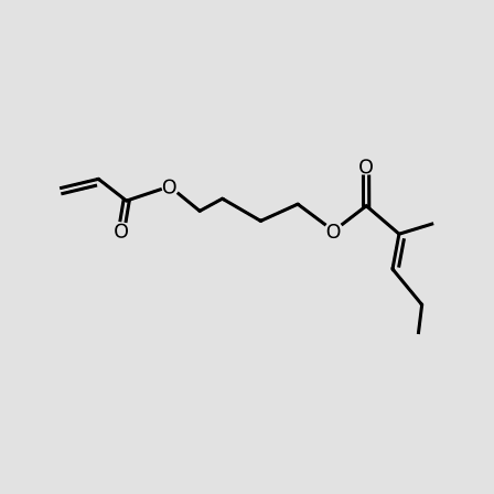 C=CC(=O)OCCCCOC(=O)C(C)=CCC